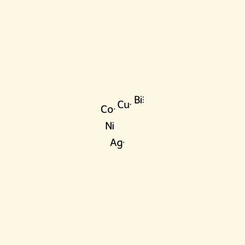 [Ag].[Bi].[Co].[Cu].[Ni]